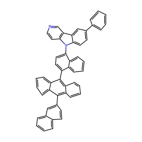 c1ccc(-c2ccc3c(c2)c2cnccc2n3-c2ccc(-c3c4ccccc4c(-c4ccc5ccccc5c4)c4ccccc34)c3ccccc23)cc1